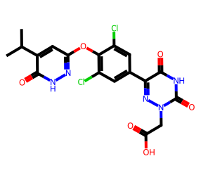 CC(C)c1cc(Oc2c(Cl)cc(-c3nn(CC(=O)O)c(=O)[nH]c3=O)cc2Cl)n[nH]c1=O